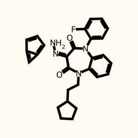 NN=c1c(=O)n(CCC2CCCC2)c2ccccc2n(-c2ccccc2F)c1=O.c1cc2cc-2c1